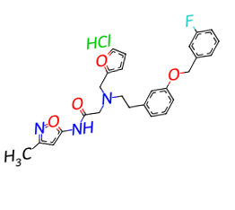 Cc1cc(NC(=O)CN(CCc2cccc(OCc3cccc(F)c3)c2)Cc2ccco2)on1.Cl